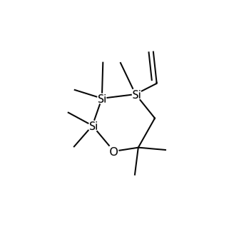 C=C[Si]1(C)CC(C)(C)O[Si](C)(C)[Si]1(C)C